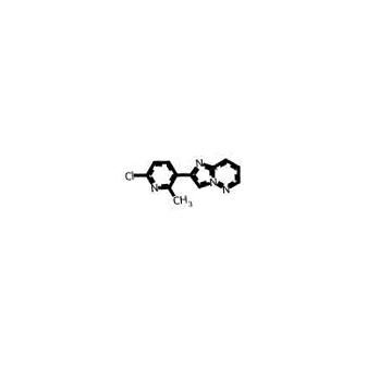 Cc1nc(Cl)ccc1-c1cn2ncccc2n1